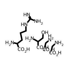 N=C(N)NCCCC(N)C(=O)O.NC(CO)C(=O)O.NCC(=O)O.NCC(=O)O